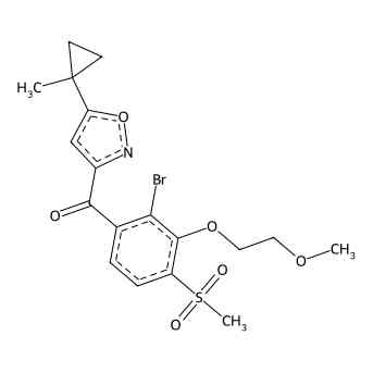 COCCOc1c(S(C)(=O)=O)ccc(C(=O)c2cc(C3(C)CC3)on2)c1Br